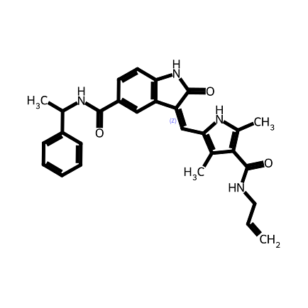 C=CCNC(=O)c1c(C)[nH]c(/C=C2\C(=O)Nc3ccc(C(=O)NC(C)c4ccccc4)cc32)c1C